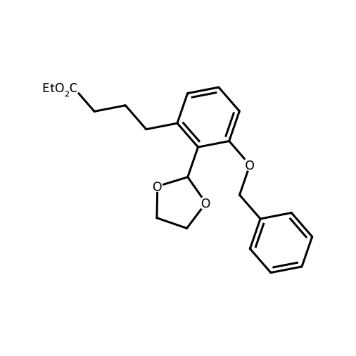 CCOC(=O)CCCc1cccc(OCc2ccccc2)c1C1OCCO1